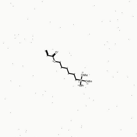 C=CC(=O)OCCCCCC[Si](CCC)(OC)OC